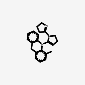 Cc1cccc2c1N(C1=CCCN1C1=NCCC1)c1ccccc1C2